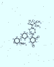 CC(C)(C)C(=O)N1CCN(c2ccc(Cl)cc2Cl)[C@H](c2ccc(-c3ccncc3N)cc2)C1